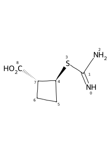 N=C(N)S[C@H]1CC[C@@H]1C(=O)O